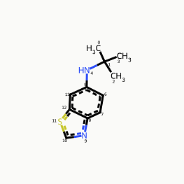 CC(C)(C)Nc1ccc2ncsc2c1